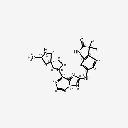 CC1(C)C(=O)Nc2cc(Nc3nc4c(N5CC[C@]6(CNC(C(F)(F)F)C6)C5)nccn4n3)ccc21